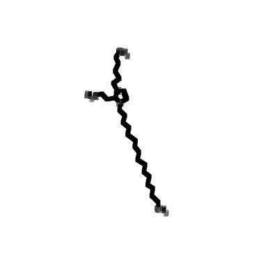 CCCCCCCCCCCCCCCCCN1C=CN(CCCCCC)C1CCC